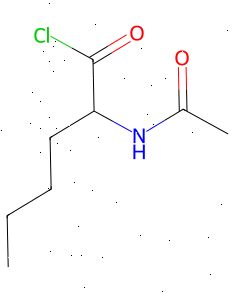 CCCCC(NC(C)=O)C(=O)Cl